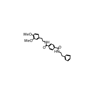 COc1ccc(CCNC(=O)c2ccc(C(=O)NCCc3ccccc3)cc2)cc1OC